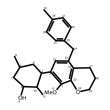 COc1c(C2CC(C)CC(O)C2C)cc(Cc2ccc(C)cc2)c2c1OCCC2